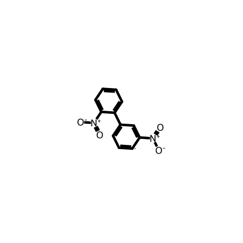 O=[N+]([O-])c1[c]ccc(-c2ccccc2[N+](=O)[O-])c1